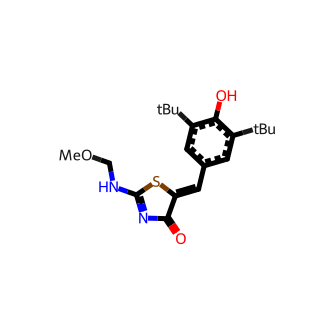 COCNC1=NC(=O)C(=Cc2cc(C(C)(C)C)c(O)c(C(C)(C)C)c2)S1